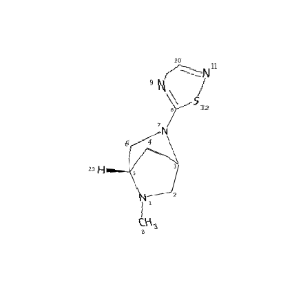 CN1CC2C[C@H]1CN2c1ncns1